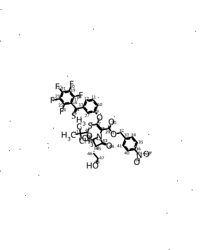 CC(C)(C)C(=O)SC(Oc1cccc(C(=S)c2c(F)c(F)c(F)c(F)c2F)c1)=C(C(=O)OCc1ccc([N+](=O)[O-])cc1)N1C(=O)[C@H](CCO)[C@@H]1Cl